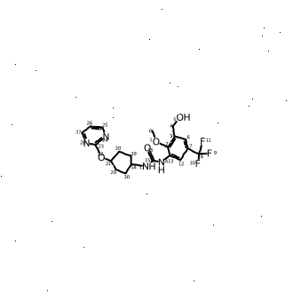 COc1c(CO)cc(C(F)(F)F)cc1NC(=O)NC1CCC(Oc2ncccn2)CC1